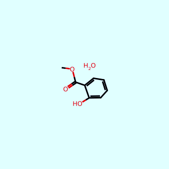 COC(=O)c1ccccc1O.O